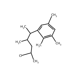 [CH2]C(c1cc(C)cc(C)c1C)C(C)CC(C)Cl